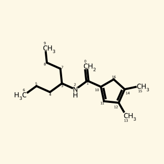 C=C(NC(CCC)CCC)C1=CC(C)=C(C)C1